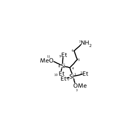 CC[Si](CC)(OC)C(CCN)[Si](CC)(CC)OC